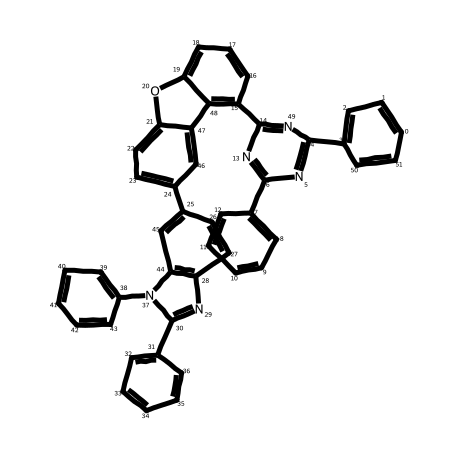 c1ccc(-c2nc(-c3ccccc3)nc(-c3cccc4oc5ccc(-c6ccc7nc(-c8ccccc8)n(-c8ccccc8)c7c6)cc5c34)n2)cc1